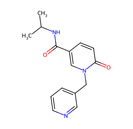 CC(C)NC(=O)c1ccc(=O)n(Cc2cccnc2)c1